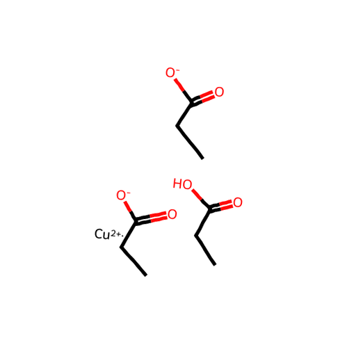 CCC(=O)O.CCC(=O)[O-].CCC(=O)[O-].[Cu+2]